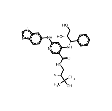 CC(C)(O)[C@H](F)CNC(=O)c1cnc(Nc2ccc3ncsc3c2)cc1N[C@@H](c1ccccc1)[C@H](O)CO